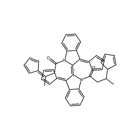 CC(CC(=O)n1/c(=c2\c(=C3C=CC=C3)c3ccccc3n2C(=O)CC(C)C2C=CC=C2)c(=C2C=CC=C2)c2ccccc21)=C1C=CC=C1